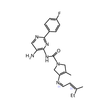 CC/C(C)=C\C=N/C1=C(C)CN(C(=O)Nc2nc(-c3ccc(F)cc3)ncc2N)C1